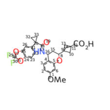 COc1ccc2c(c1)OC(C13CC(C(=O)O)(C1)C3)CC2NC(=O)C1(c2ccc3c(c2)OC(F)(F)O3)CC1